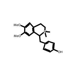 COc1cc2c(cc1OC)C(Cc1ccc(O)cc1)[N+](C)(C)CC2